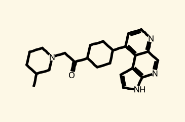 CC1CCCN(CC(=O)C2CCC(c3ccnc4cnc5[nH]ccc5c34)CC2)C1